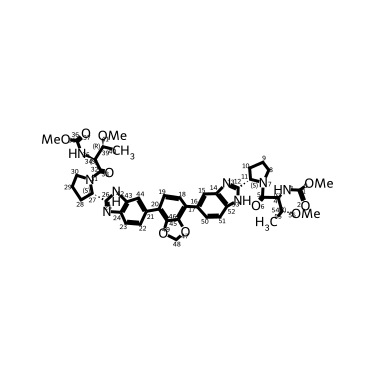 COC(=O)N[C@H](C(=O)N1CCC[C@H]1c1nc2cc(-c3ccc(-c4ccc5nc([C@@H]6CCCN6C(=O)[C@@H](NC(=O)OC)[C@@H](C)OC)[nH]c5c4)c4c3OCO4)ccc2[nH]1)[C@@H](C)OC